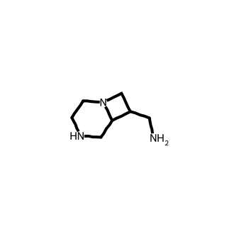 NCC1CN2CCNCC12